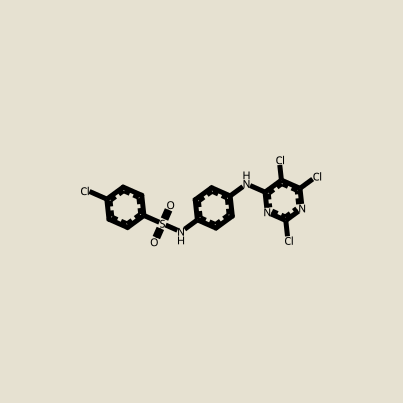 O=S(=O)(Nc1ccc(Nc2nc(Cl)nc(Cl)c2Cl)cc1)c1ccc(Cl)cc1